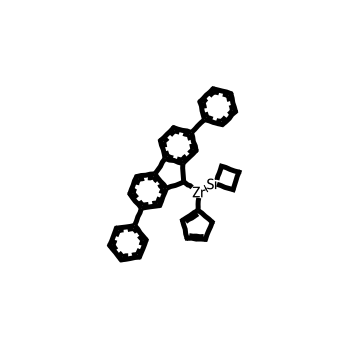 C1=CC[C]([Zr]([CH]2c3cc(-c4ccccc4)ccc3-c3ccc(-c4ccccc4)cc32)=[Si]2CCC2)=C1